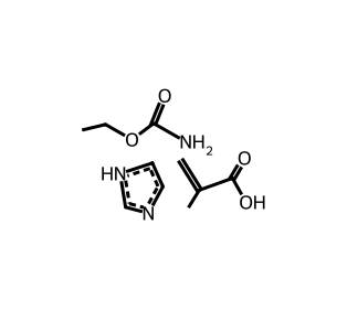 C=C(C)C(=O)O.CCOC(N)=O.c1c[nH]cn1